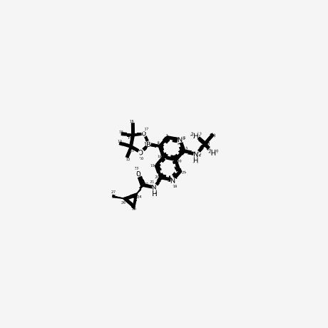 [2H]C([2H])(C)Nc1ncc(B2OC(C)(C)C(C)(C)O2)c2cc(NC(=O)[C@H]3C[C@H]3C)ncc12